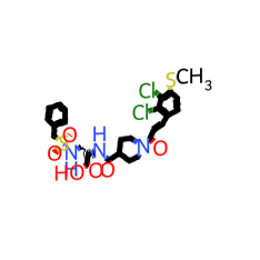 CSc1ccc(C=CC(=O)N2CCC(C(=O)N[C@@H](CNS(=O)(=O)Cc3ccccc3)C(=O)O)CC2)c(Cl)c1Cl